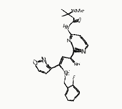 CNC(C)(C)C(=O)Nc1ccnc(C(=N)/C=C(\NCC2=CCCC=C2F)c2ccon2)n1